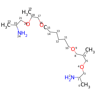 CC(N)COCC(C)COCCCCCCOCC(C)OCC(C)N